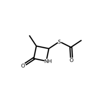 CC(=O)SC1NC(=O)C1C